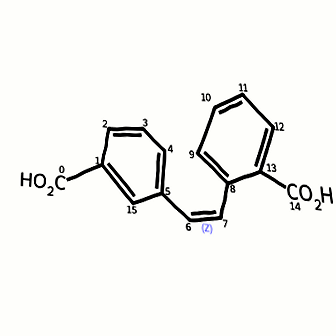 O=C(O)c1cccc(/C=C\c2ccccc2C(=O)O)c1